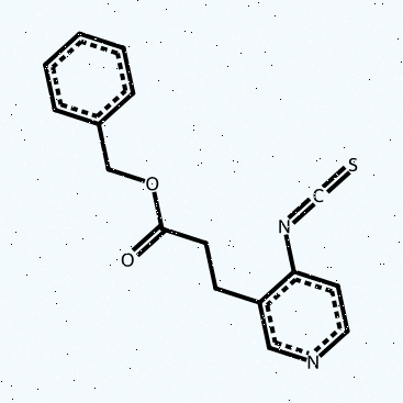 O=C(CCc1cnccc1N=C=S)OCc1ccccc1